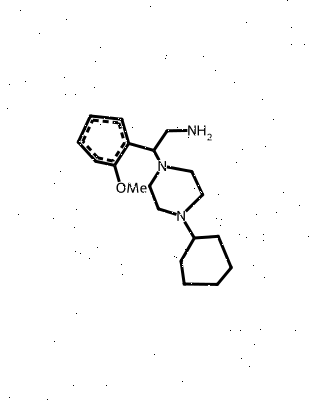 COc1ccccc1C(CN)N1CCN(C2CCCCC2)CC1